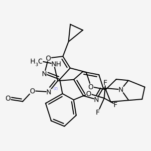 CN/C(=N\OC=O)c1ccc(N2C3CCC2CC(OCc2c(-c4ccccc4OC(F)(F)F)noc2C2CC2)C3)nc1